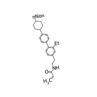 C=CC(=O)NCCc1ccc(-c2ccc(C3CCC(CCCCCCCCC)CC3)cc2)c(CC)c1